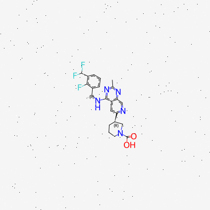 Cc1nc(N[C@H](C)c2cccc(C(F)F)c2F)c2cc([C@@H]3CCCN(C(=O)O)C3)ncc2n1